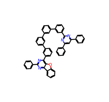 c1ccc(-c2cc(-c3ccccc3)nc(-c3cccc(-c4cccc(-c5cccc(-c6cccc(-c7nc(-c8ccccc8)nc8c7oc7ccccc78)c6)c5)c4)c3)n2)cc1